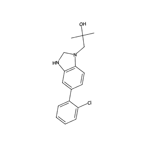 CC(C)(O)CN1CNc2cc(-c3ccccc3Cl)ccc21